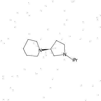 CC(C)N1CC[C@H](N2CCCCC2)C1